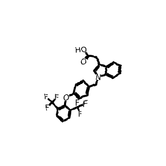 O=C(O)Cc1cn(Cc2ccc(Oc3c(C(F)(F)F)cccc3C(F)(F)F)cc2)c2ccccc12